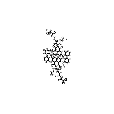 C=C(Cl)C(=O)OCCNC(=O)C(CCCC)N1C(=O)c2cc(Oc3ccccc3C)c3c4c(Oc5ccccc5C)cc5c6c(cc(Oc7ccccc7C)c(c7c(Oc8ccccc8C)cc(c2c37)C1=O)c64)C(=O)N(C(CCCC)C(=O)NCCOC(=O)C(=C)Cl)C5=O